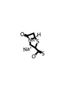 O=C1C[C@H]2SC(C([O-])=S)CN12.[Na+]